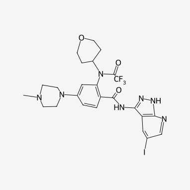 CN1CCN(c2ccc(C(=O)Nc3n[nH]c4ncc(I)cc34)c(N(C(=O)C(F)(F)F)C3CCOCC3)c2)CC1